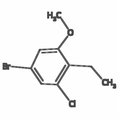 CCc1c(Cl)cc(Br)cc1OC